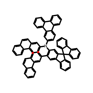 c1ccc2c(c1)-c1ccccc1C21c2ccccc2-c2cc(-c3ccc4ccc5ccccc5c4c3)c(N(c3ccc4c(ccc5ccccc54)c3)c3ccc4c5ccccc5c5ccccc5c4c3)cc21